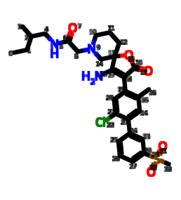 CCC(C)CNC(=O)CN1CCCC2(C1)OC(=O)C(c1cc(Cl)c(-c3cccc(S(C)(=O)=O)c3)cc1C)=C2N